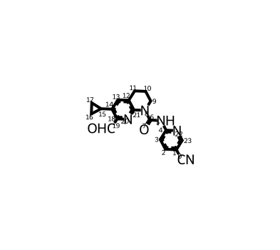 N#Cc1ccc(NC(=O)N2CCCc3cc(C4CC4)c(C=O)nc32)nc1